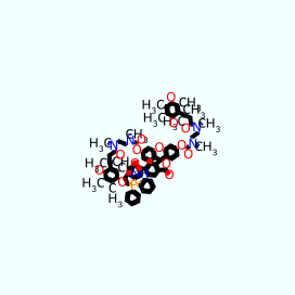 CC1=C(C)C(=O)C(C(C)(C)CC(=O)N(C)CCN(C)C(=O)Oc2ccc3c(c2)Oc2cc(OC(=O)N(C)CCN(C)C(=O)CC(C)(C)C4=C(C)C(=O)C(C)=C(C)C4=O)ccc2C32OC(=O)c3ccc(C(=O)NCCC[P+](c4ccccc4)(c4ccccc4)c4ccccc4)cc32)=C(C)C1=O